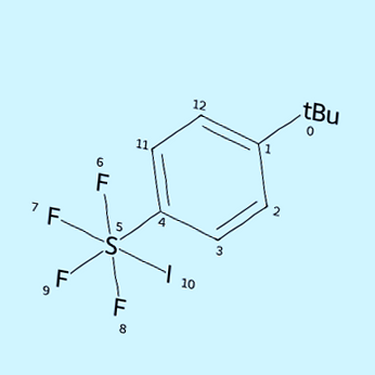 CC(C)(C)c1ccc(S(F)(F)(F)(F)I)cc1